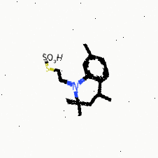 Cc1ccc2c(c1)N(CCSS(=O)(=O)O)C(C)(C)CC2C